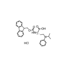 CC(C)N(CC[C@H](NC(=O)OCC1c2ccccc2-c2ccccc21)C(=O)O)c1ccccc1.Cl